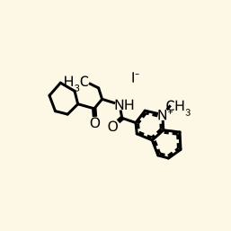 CCC(NC(=O)c1cc2ccccc2[n+](C)c1)C(=O)C1CCCCC1.[I-]